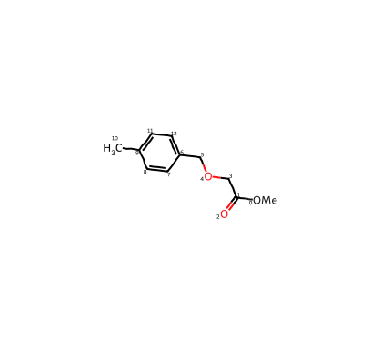 COC(=O)COCc1ccc(C)cc1